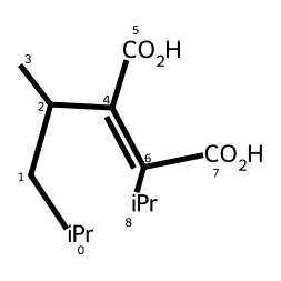 CC(C)CC(C)C(C(=O)O)=C(C(=O)O)C(C)C